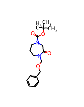 CC(C)(C)OC(=O)N1CCCN(COCc2ccccc2)C(=O)C1